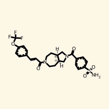 NS(=O)(=O)c1ccc(C(=O)N2C[C@H]3CCN(C(=O)C=Cc4ccc(OC(F)(F)F)cc4)CC[C@H]3C2)cc1